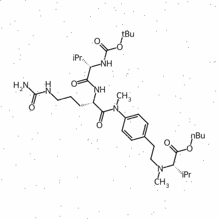 CCCCOC(=O)[C@H](C(C)C)N(C)CCc1ccc(N(C)C(=O)[C@H](CCCNC(N)=O)NC(=O)[C@@H](NC(=O)OC(C)(C)C)C(C)C)cc1